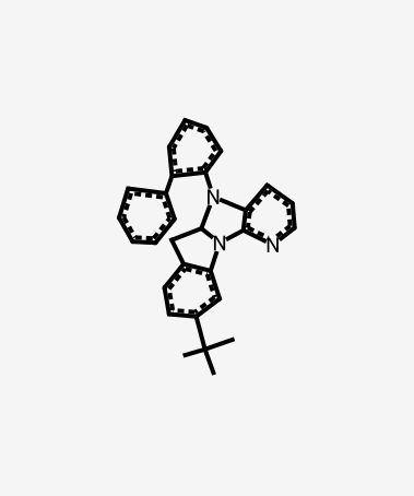 CC(C)(C)c1ccc2c(c1)N1c3ncccc3N(c3ccccc3-c3ccccc3)C1C2